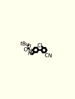 CC(C)(C)OC(=O)n1ncc2cc(-c3cc(C#N)ccc3Cl)ccc21